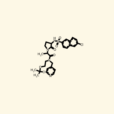 CC(C(=O)N(CCOC(C)(C)C)Cc1ccncc1)N1CCC(NS(=O)(=O)c2ccc3cc(Cl)ccc3c2)C1=O